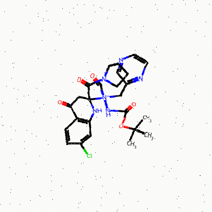 CC(C)(C)OC(=O)N[N+](C=O)(Cc1cnccn1)C1(C(=O)N2CCCC2)CC(=O)c2ccc(Cl)cc2N1